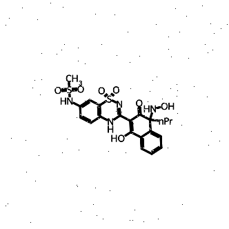 CCCC1(NO)C(=O)C(C2=NS(=O)(=O)c3cc(NS(C)(=O)=O)ccc3N2)=C(O)c2ccccc21